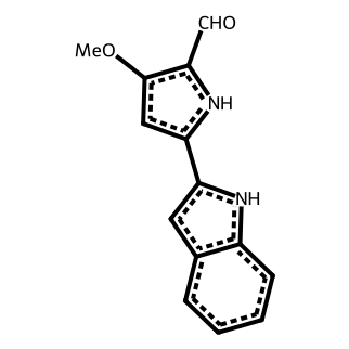 COc1cc(-c2cc3ccccc3[nH]2)[nH]c1C=O